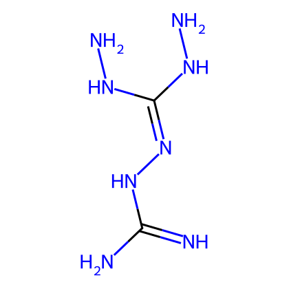 N=C(N)NN=C(NN)NN